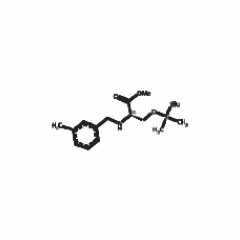 COC(=O)[C@H](CO[Si](C)(C)C(C)(C)C)NCc1cccc(C)c1